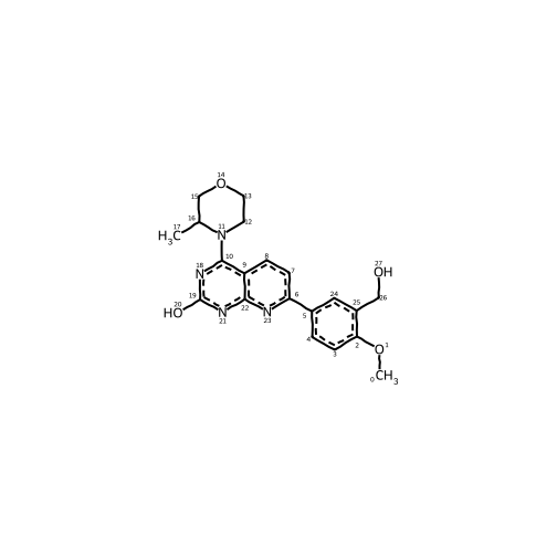 COc1ccc(-c2ccc3c(N4CCOCC4C)nc(O)nc3n2)cc1CO